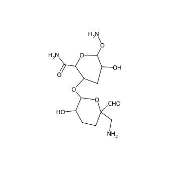 NCC1(C=O)CCC(O)C(OC2CC(O)C(ON)OC2C(N)=O)O1